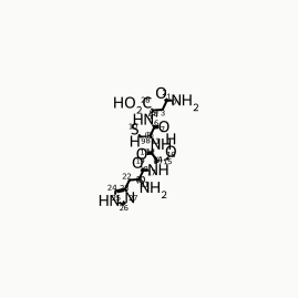 NC(=O)C[C@H](NC(=O)[C@H](CS)NC(=O)[C@H](CO)NC(=O)[C@@H](N)Cc1c[nH]cn1)C(=O)O